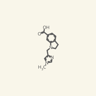 Cn1cnc(CN2CCc3ccc(C(=O)O)cc32)c1